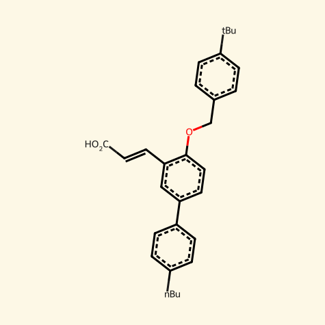 CCCCc1ccc(-c2ccc(OCc3ccc(C(C)(C)C)cc3)c(C=CC(=O)O)c2)cc1